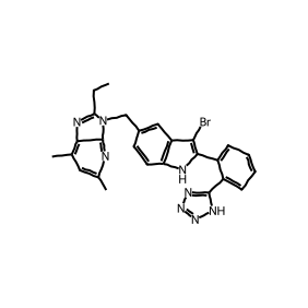 CCc1nc2c(C)cc(C)nc2n1Cc1ccc2[nH]c(-c3ccccc3-c3nnn[nH]3)c(Br)c2c1